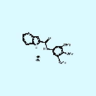 Br.Br.COc1cc(NC(=O)c2cc3ncccc3[nH]2)cc(OC)c1OC